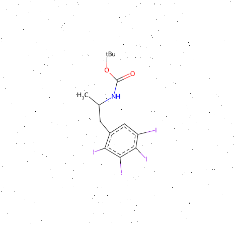 CC(Cc1cc(I)c(I)c(I)c1I)NC(=O)OC(C)(C)C